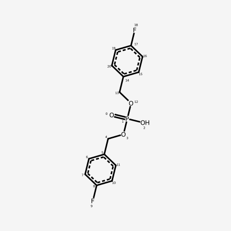 O=P(O)(OCc1ccc(F)cc1)OCc1ccc(F)cc1